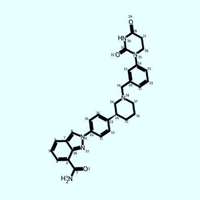 NC(=O)c1cccc2cn(-c3ccc([C@@H]4CCCN(Cc5cccc(N6CCC(=O)NC6=O)c5)C4)cc3)nc12